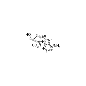 Nc1ncnc2c1ncn2[C@]1(C(=O)O)O[C@H](CO)C[C@H]1O